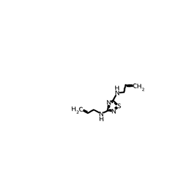 C=CCNc1nsc(NCC=C)n1